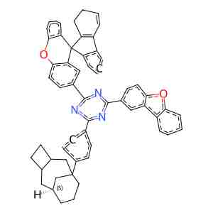 C1=CC2=C(CC1)C1(c3ccccc3Oc3ccc(-c4nc(-c5ccc(C67CCC[C@@H](CC8CCC8C6)C7)cc5)nc(-c5ccc6oc7ccccc7c6c5)n4)cc31)c1ccccc12